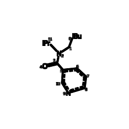 CCC(C)CN(C(=O)c1cccnc1)C(C)C